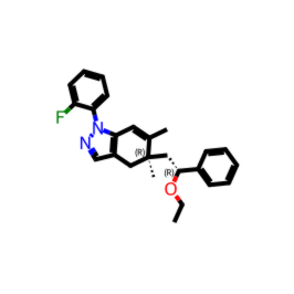 CCO[C@H](C[C@@]1(C)Cc2cnn(-c3ccccc3F)c2C=C1C)c1ccccc1